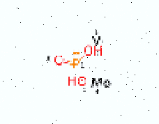 O=[PH](O)O.[Mo].[V]